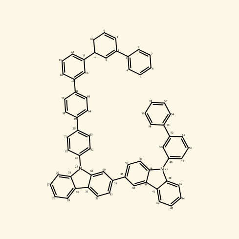 C1=CC(c2ccccc2)=CC(c2cccc(-c3ccc(-c4ccc(-n5c6ccccc6c6ccc(-c7ccc8c(c7)c7ccccc7n8-c7cccc(-c8ccccc8)c7)cc65)cc4)cc3)c2)C1